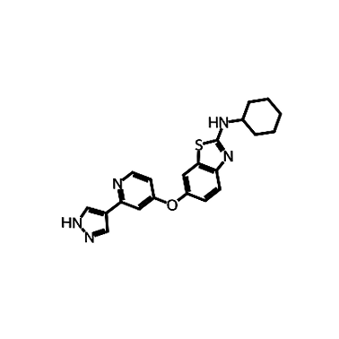 c1cc(Oc2ccc3nc(NC4CCCCC4)sc3c2)cc(-c2cn[nH]c2)n1